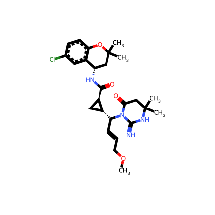 COC/C=C/C([C@@H]1C[C@H]1C(=O)N[C@H]1CC(C)(C)Oc2ccc(Cl)cc21)N1C(=N)NC(C)(C)CC1=O